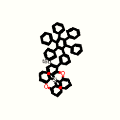 CC(C)(C)c1ccc2c(c1-c1cccc(-c3c(-c4ccccc4)c(-c4ccccc4)c(-c4ccccc4)c(-c4ccccc4)c3-c3ccccc3)c1)Oc1ccccc1[Si]21c2ccccc2Oc2ccccc21